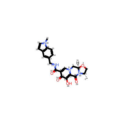 C[C@H]1CO[C@@H]2Cn3cc(C(=O)NCc4ccc5c(ccn5C)c4)c(=O)c(O)c3C(=O)N12